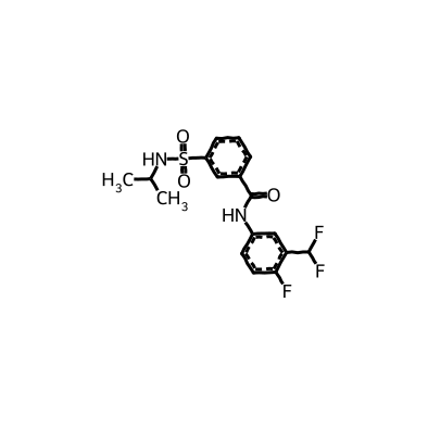 CC(C)NS(=O)(=O)c1cccc(C(=O)Nc2ccc(F)c(C(F)F)c2)c1